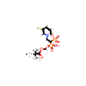 CC(C)(C)C(=O)OCOP(=O)(O)C(C[n+]1cccc(F)c1)P(=O)(O)O